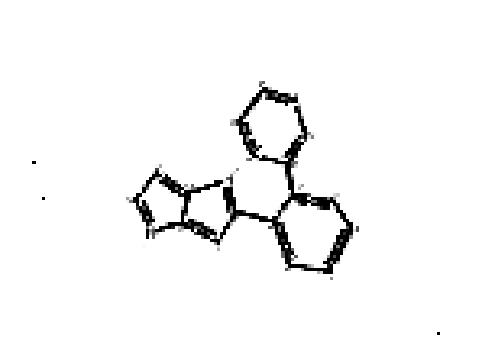 C1=NC2=CC(c3ccccc3-c3ccccc3)=NC2=C1